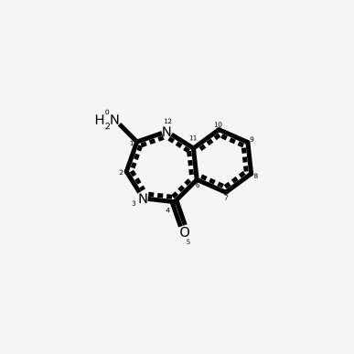 Nc1cnc(=O)c2ccccc2n1